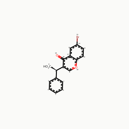 O=C(O)[C@H](c1ccccc1)c1coc2ccc(Br)cc2c1=O